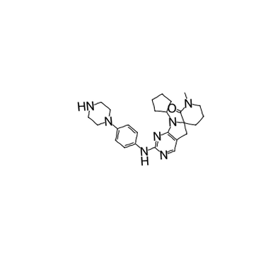 CN1CCCC2(Cc3cnc(Nc4ccc(N5CCNCC5)cc4)nc3N2C2CCCC2)C1=O